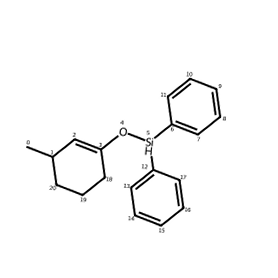 CC1C=C(O[SiH](c2ccccc2)c2ccccc2)CCC1